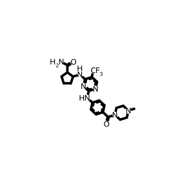 CN1CCN(C(=O)c2ccc(Nc3ncc(C(F)(F)F)c(NC4CCCC4C(N)=O)n3)cc2)CC1